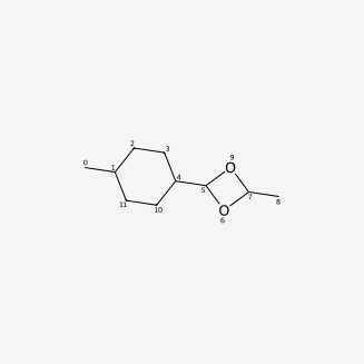 CC1CCC(C2OC(C)O2)CC1